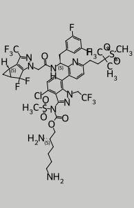 CC(C)(CCc1ccc(-c2ccc(Cl)c3c(N(C(=O)OC[C@@H](N)CCCCN)S(C)(=O)=O)nn(CC(F)(F)F)c23)c([C@H](Cc2cc(F)cc(F)c2)NC(=O)Cn2nc(C(F)(F)F)c3c2C(F)(F)C2C[C@H]32)n1)S(C)(=O)=O